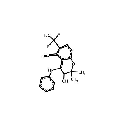 CC1(C)Oc2ccc(C(F)(F)C(F)(F)F)c(=C=S)c2=C(Nc2ccccc2)C1O